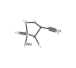 C#CC1COP(=O)(OC)C1F